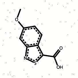 COc1ccc2c(C(=O)O)snc2c1